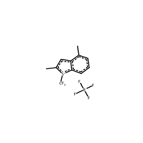 Cc1cccc2c1cc(C)[s+]2C(F)(F)F.F[B-](F)(F)F